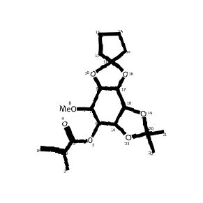 C=C(C)C(=O)OC1C(OC)C2OC3(CCCC3)OC2C2OC(C)(C)OC12